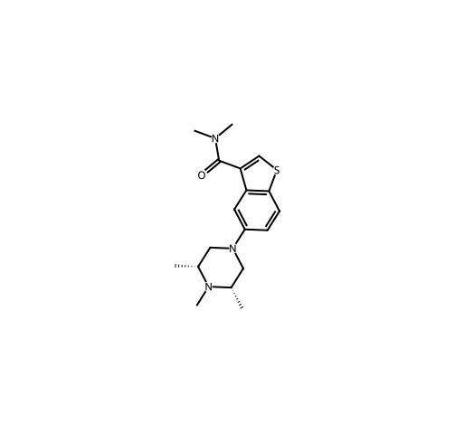 C[C@@H]1CN(c2ccc3scc(C(=O)N(C)C)c3c2)C[C@H](C)N1C